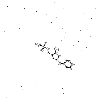 NS(=O)(=O)OC[C@@H]1C[C@@H](Oc2ccncn2)C[C@@H]1O